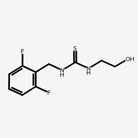 OCCNC(=S)NCc1c(F)cccc1F